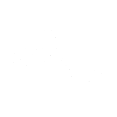 O=C(O)C(C(=O)O)c1ccc(-c2ccc(C(CC3CCOCC3)c3ccc(S(=O)(=O)C4CC4)cc3)[nH]2)nc1